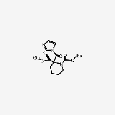 CC(C)(C)OC(=O)N1CCCCC1(C(=O)OC(C)(C)C)C(=O)n1ccnc1